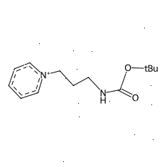 CC(C)(C)OC(=O)NCCC[n+]1ccccc1